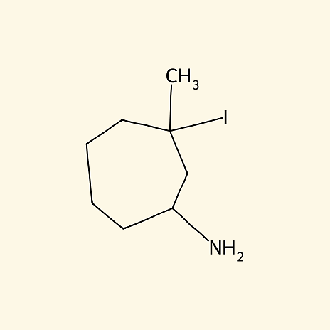 CC1(I)CCCCC(N)C1